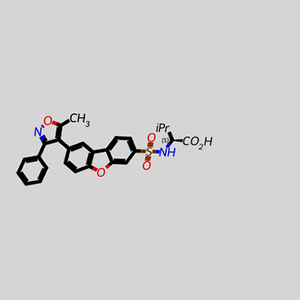 Cc1onc(-c2ccccc2)c1-c1ccc2oc3cc(S(=O)(=O)N[C@H](C(=O)O)C(C)C)ccc3c2c1